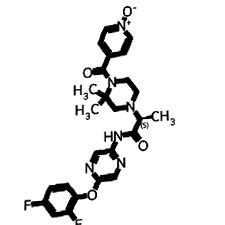 C[C@@H](C(=O)Nc1cnc(Oc2ccc(F)cc2F)cn1)N1CCN(C(=O)c2cc[n+]([O-])cc2)C(C)(C)C1